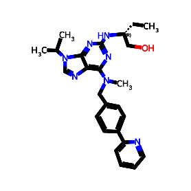 CC[C@H](CO)Nc1nc(N(C)Cc2ccc(-c3ccccn3)cc2)c2ncn(C(C)C)c2n1